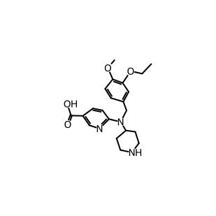 CCOc1cc(CN(c2ccc(C(=O)O)cn2)C2CCNCC2)ccc1OC